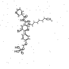 CCCCCCCn1nc(NC(=O)c2cccnc2)c2cc(Br)c(-c3ccc(OCOP(=O)(O)O)cc3)nc21